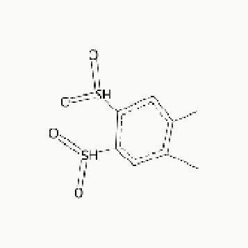 Cc1cc([SH](=O)=O)c([SH](=O)=O)cc1C